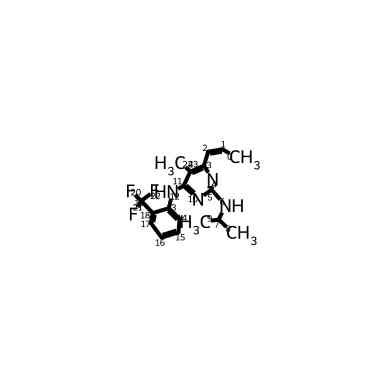 C/C=C\c1nc(NC(C)C)nc(Nc2ccccc2C(F)(F)F)c1C